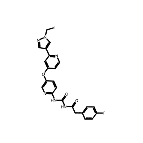 O=C(Cc1ccc(F)cc1)NC(=O)Nc1ccc(Oc2ccnc(-c3cnn(CI)c3)c2)cn1